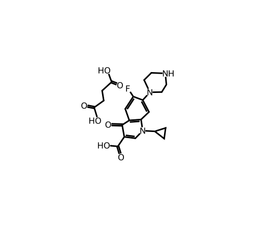 O=C(O)CCC(=O)O.O=C(O)c1cn(C2CC2)c2cc(N3CCNCC3)c(F)cc2c1=O